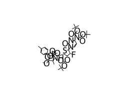 COC(=O)C(C)NP(=O)(OC[C@H]1S[C@@H](n2ccc(N(C(=O)OC(C)(C)C)C(=O)OC(C)(C)C)nc2=O)[C@@H](F)[C@@H]1OC(=O)OC(C)(C)C)Oc1ccc(C)cc1